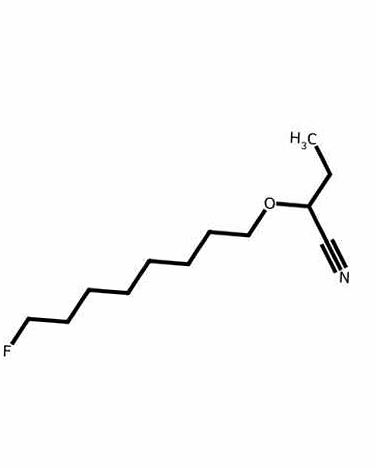 CCC(C#N)OCCCCCCCCF